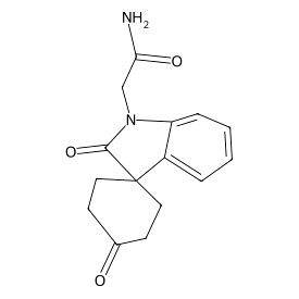 NC(=O)CN1C(=O)C2(CCC(=O)CC2)c2ccccc21